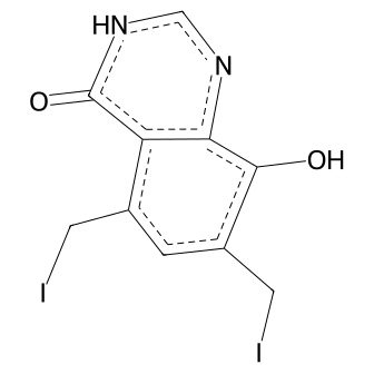 O=c1[nH]cnc2c(O)c(CI)cc(CI)c12